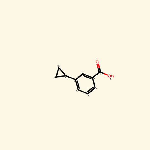 O=C(O)c1c[c]cc(C2CC2)c1